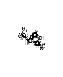 Cc1nnsc1C(=O)N[C@@H]1CCN2c3ccc([N+](=O)[O-])cc3N(C)c3ccccc3[C@H]2C1